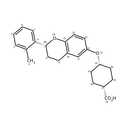 Cc1ccccc1[C@H]1CCc2cc(O[C@H]3CC[C@@H](C(=O)O)CC3)ccc2O1